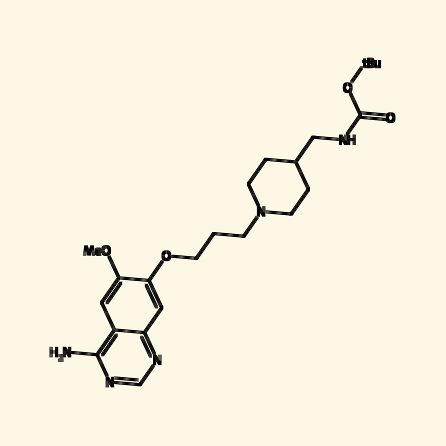 COc1cc2c(N)ncnc2cc1OCCCN1CCC(CNC(=O)OC(C)(C)C)CC1